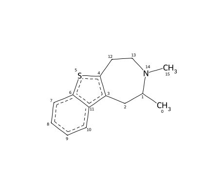 CC1Cc2c(sc3ccccc23)CCN1C